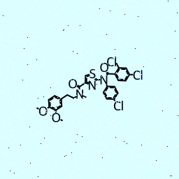 COc1ccc(CCN(C)C(=O)c2csc(N(C(=O)c3ccc(Cl)cc3Cl)c3ccc(Cl)cc3)n2)cc1OC